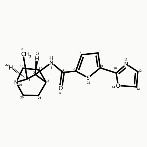 C[C@H]1[C@H](NC(=O)c2ccc(-c3ncco3)s2)C2CCN1CC2